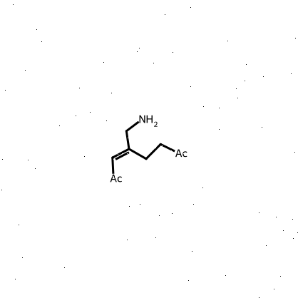 CC(=O)/C=C(/CN)CCC(C)=O